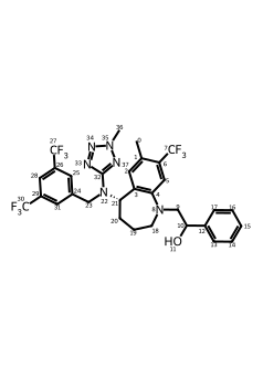 Cc1cc2c(cc1C(F)(F)F)N(CC(O)c1ccccc1)CCC[C@@H]2N(Cc1cc(C(F)(F)F)cc(C(F)(F)F)c1)c1nnn(C)n1